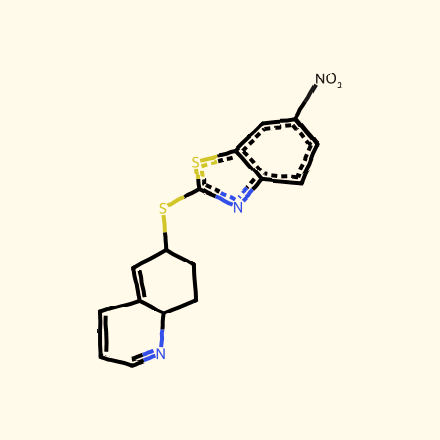 O=[N+]([O-])c1ccc2nc(SC3C=C4C=CC=NC4CC3)sc2c1